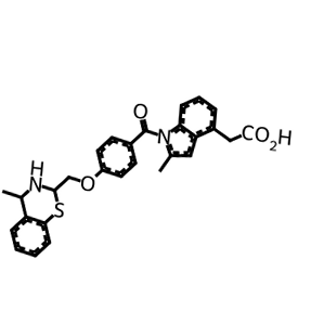 Cc1cc2c(CC(=O)O)cccc2n1C(=O)c1ccc(OCC2NC(C)c3ccccc3S2)cc1